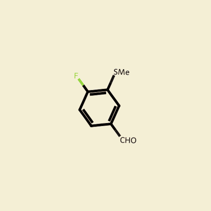 CSc1cc(C=O)ccc1F